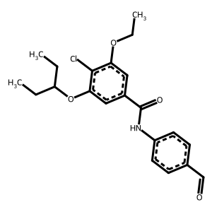 CCOc1cc(C(=O)Nc2ccc(C=O)cc2)cc(OC(CC)CC)c1Cl